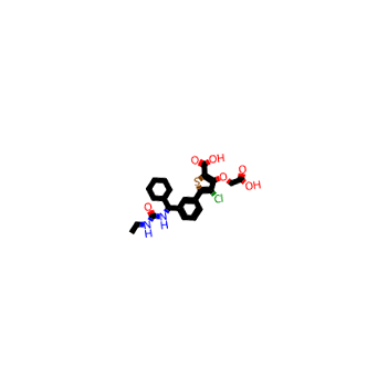 CCNC(=O)NC(c1cccc(-c2sc(C(=O)O)c(OCC(=O)O)c2Cl)c1)C1CCCCC1